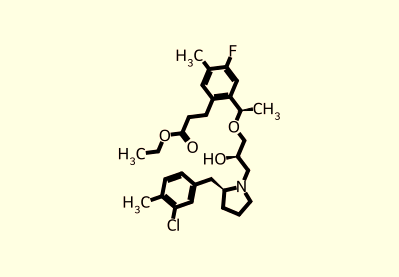 CCOC(=O)CCc1cc(C)c(F)cc1[C@@H](C)OC[C@H](O)CN1CCC[C@H]1Cc1ccc(C)c(Cl)c1